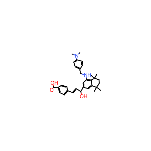 CN(C)c1ccc(CNc2cc(C(O)C=Cc3ccc(C(=O)O)cc3)cc3c2C(C)(C)CCC3(C)C)cc1